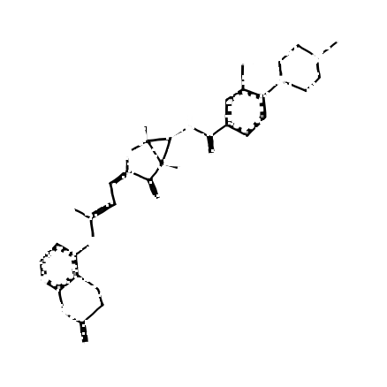 C=C1/C(=C\C=C(/C)Oc2ccnc3c2CCC(=O)N3)O[C@@H]2[C@@H](NC(=O)c3ccc(N4CCN(CC)CC4)c(C(F)(F)F)c3)[C@H]12